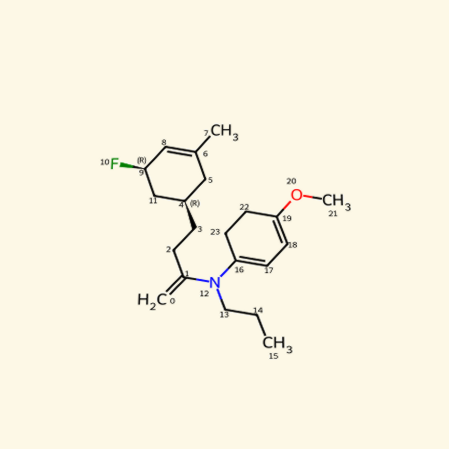 C=C(CC[C@@H]1CC(C)=C[C@H](F)C1)N(CCC)C1=CC=C(OC)CC1